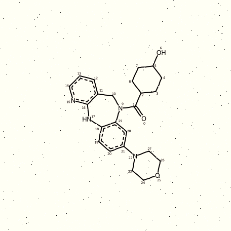 O=C(C1CCC(O)CC1)N1Cc2cccnc2Nc2ccc(N3CCOCC3)cc21